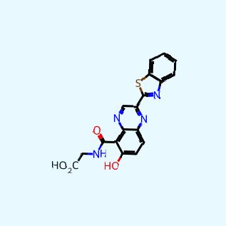 O=C(O)CNC(=O)c1c(O)ccc2nc(-c3nc4ccccc4s3)cnc12